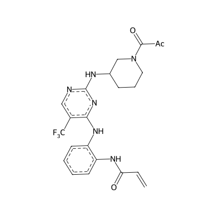 C=CC(=O)Nc1ccccc1Nc1nc(NC2CCCN(C(=O)C(C)=O)C2)ncc1C(F)(F)F